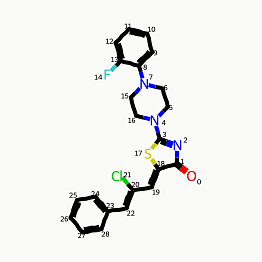 O=C1N=C(N2CCN(c3ccccc3F)CC2)SC1=CC(Cl)=Cc1ccccc1